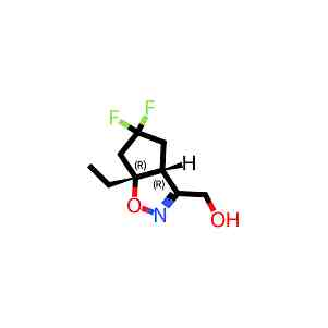 CC[C@@]12CC(F)(F)C[C@@H]1C(CO)=NO2